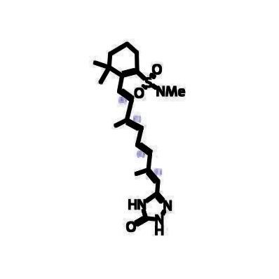 CNS(=O)(=O)C1=C(/C=C/C(C)=C/C=C/C(C)=C/c2n[nH]c(=O)[nH]2)C(C)(C)CCC1